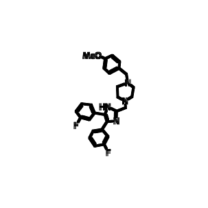 COc1ccc(CN2CCN(Cc3nc(-c4cccc(F)c4)c(-c4cccc(F)c4)[nH]3)CC2)cc1